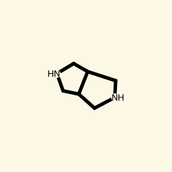 C1NCC2CNC[C]12